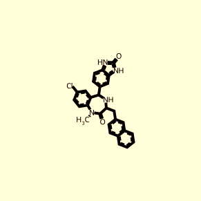 CN1C(=O)C(Cc2ccc3ccccc3c2)NC(c2ccc3[nH]c(=O)[nH]c3c2)c2cc(Cl)ccc21